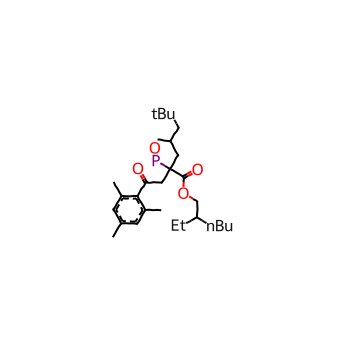 CCCCC(CC)COC(=O)C(CC(=O)c1c(C)cc(C)cc1C)(CC(C)CC(C)(C)C)P=O